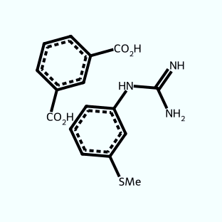 CSc1cccc(NC(=N)N)c1.O=C(O)c1cccc(C(=O)O)c1